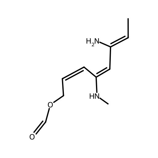 CC=C(N)/C=C(\C=C/COC=O)NC